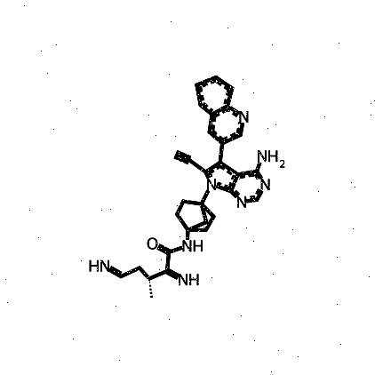 C#Cc1c(-c2cnc3ccccc3c2)c2c(N)ncnc2n1C12CCC(NC(=O)C(=N)[C@H](C)CC=N)(CC1)C2